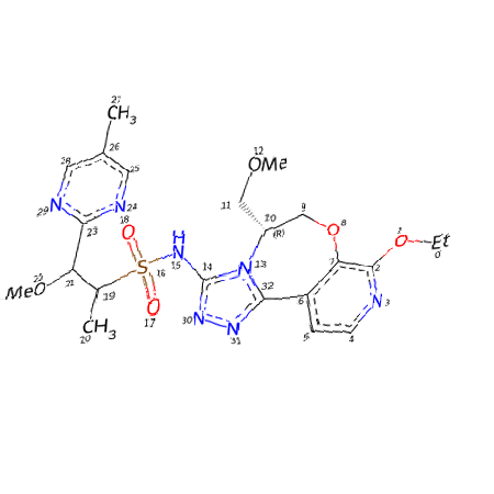 CCOc1nccc2c1OC[C@@H](COC)n1c(NS(=O)(=O)C(C)C(OC)c3ncc(C)cn3)nnc1-2